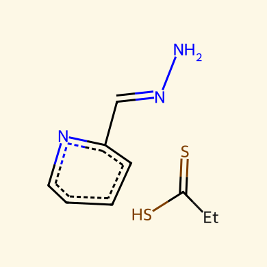 CCC(=S)S.NN=Cc1ccccn1